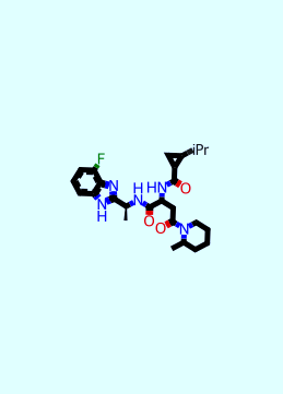 CC(C)C1CC1C(=O)NC(CC(=O)N1CCCCC1C)C(=O)N[C@@H](C)c1nc2c(F)cccc2[nH]1